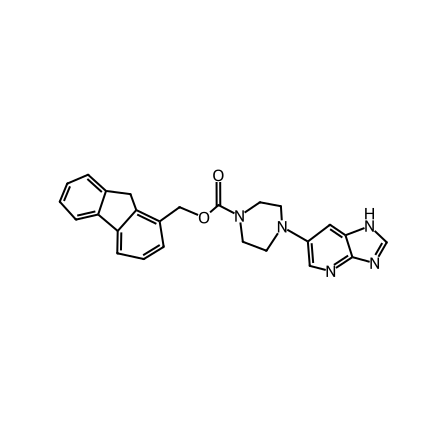 O=C(OCc1cccc2c1Cc1ccccc1-2)N1CCN(c2cnc3nc[nH]c3c2)CC1